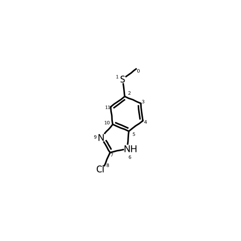 CSc1ccc2[nH]c(Cl)nc2c1